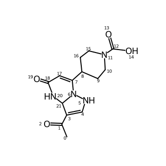 CC(=O)C1=CNN2C(C3CCN(C(=O)O)CC3)=CC(=O)NC12